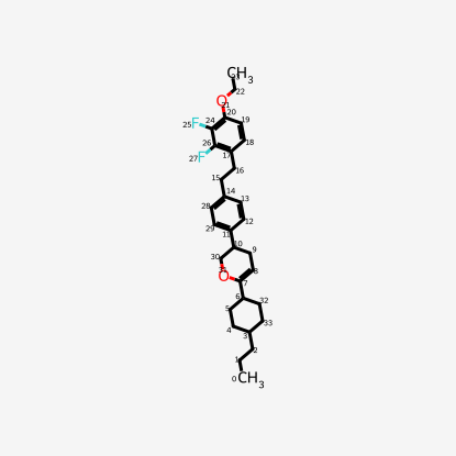 CCCC1CCC(C2=CCC(c3ccc(CCc4ccc(OCC)c(F)c4F)cc3)CO2)CC1